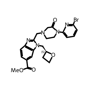 COC(=O)c1ccc2nc(CN3CCN(c4cccc(Br)n4)C(=O)C3)n(C[C@@H]3CCO3)c2c1